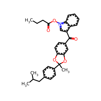 CCCC(=O)On1cc(C(=O)c2ccc3c(c2)OC(C)(c2ccc(CC(C)C)cc2)O3)c2ccccc21